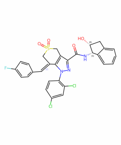 O=C(N[C@H]1c2ccccc2C[C@H]1O)c1nn(-c2ccc(Cl)cc2Cl)c2c1CS(=O)(=O)C/C2=C\c1ccc(F)cc1